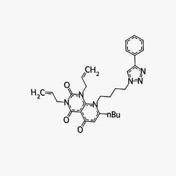 C=CCn1c(=O)c2c(=O)cc(CCCC)n(CCCCn3cc(-c4ccccc4)nn3)c2n(CC=C)c1=O